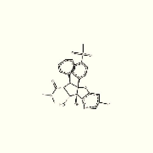 CN(C)C(=O)[C@H]1[C@@H](O)[C@@]2(O)c3ncc(Cl)cc3O[C@@]2(c2ccc(S(C)(=O)=O)cc2)[C@@H]1c1ccccc1